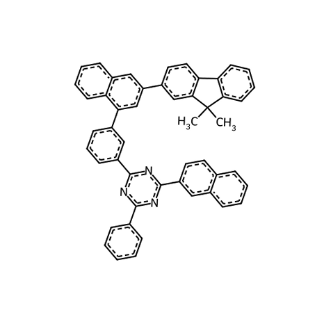 CC1(C)c2ccccc2-c2ccc(-c3cc(-c4cccc(-c5nc(-c6ccccc6)nc(-c6ccc7ccccc7c6)n5)c4)c4ccccc4c3)cc21